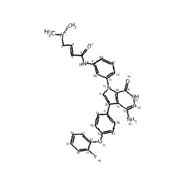 CN(C)CC=CC(=O)Nc1cccc(-n2cc(-c3ccc(Oc4ccccc4F)cc3)c3c(N)n[nH]c(=O)c32)c1